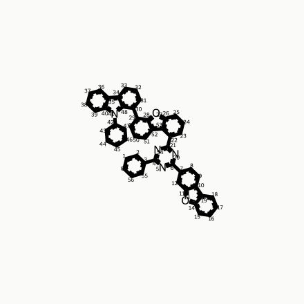 c1ccc(-c2nc(-c3ccc4c(c3)oc3ccccc34)nc(-c3cccc4oc5c(-c6cccc7c8ccccc8n(-c8ccccc8)c67)cccc5c34)n2)cc1